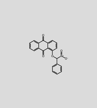 O=C1c2ccccc2C(=O)c2c(OC(c3ccccc3)[N+](=O)[O-])cccc21